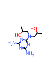 CC(O)CN(CC(C)O)c1nc(N)nc(N)n1